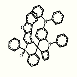 O=P1(c2ccccc2)c2ccccc2C2(c3ccccc3N(c3ccccc3)c3cc(N(c4ccccc4)c4ccccc4)ccc32)c2cc3c(cc21)oc1ccccc13